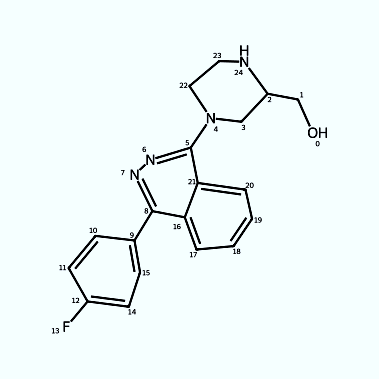 OCC1CN(c2nnc(-c3ccc(F)cc3)c3ccccc23)CCN1